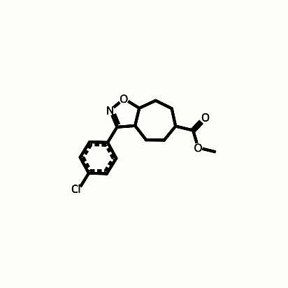 COC(=O)C1CCC2ON=C(c3ccc(Cl)cc3)C2CC1